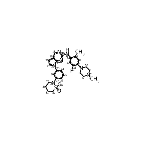 Cc1cc(N2CCN(C)CC2)c(F)cc1Nc1ncc2ccn(-c3cccc(N4CCCCS4(=O)=O)c3)c2n1